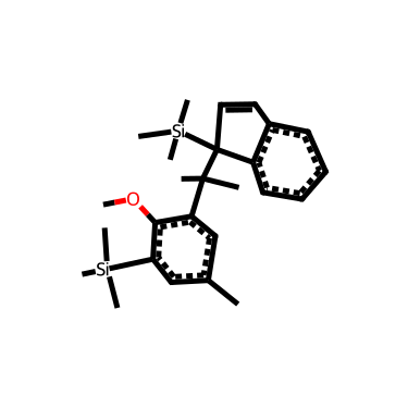 COc1c(C(C)(C)C2([Si](C)(C)C)C=Cc3ccccc32)cc(C)cc1[Si](C)(C)C